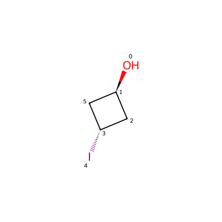 O[C@H]1C[C@H](I)C1